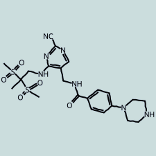 CC(CNc1nc(C#N)ncc1CNC(=O)c1ccc(N2CCNCC2)cc1)(S(C)(=O)=O)S(C)(=O)=O